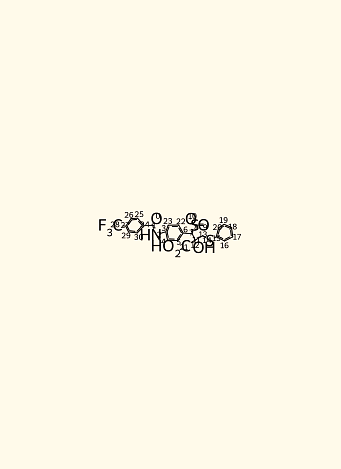 O=C(Nc1ccc(C(=S(=O)=O)C(O)(CSc2ccccc2)C(=O)O)cc1)c1ccc(C(F)(F)F)cc1